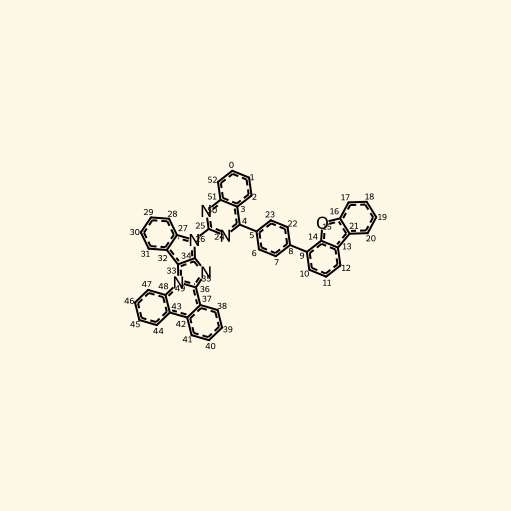 c1ccc2c(-c3ccc(-c4cccc5c4oc4ccccc45)cc3)nc(-n3c4ccccc4c4c3nc3c5ccccc5c5ccccc5n34)nc2c1